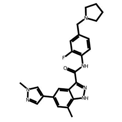 Cc1cc(-c2cnn(C)c2)cc2c(C(=O)Nc3ccc(CN4CCCC4)cc3F)n[nH]c12